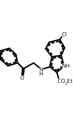 CCOC(=O)c1[nH]c2cc(Cl)ccc2c1NCC(=O)c1ccccc1